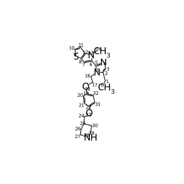 CCc1cnc(-c2cc3sccc3n2C)n1CCOc1ccc(OCC2CCNCC2)cc1